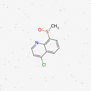 C[S+]([O-])c1cccc2c(Cl)ccnc12